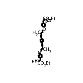 CCOC(=O)C(Cc1ccc(OC/C=C(\C)C#Cc2ccc(C#C/C(C)=C/COc3ccc(CC(OCC)C(=O)OCC)cc3)cc2)cc1)OCC